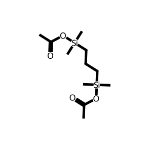 CC(=O)O[Si](C)(C)CCC[Si](C)(C)OC(C)=O